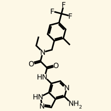 CCN(Cc1ccc(C(F)(F)F)cc1C)C(=O)C(=O)Nc1cnc(N)c2cn[nH]c12